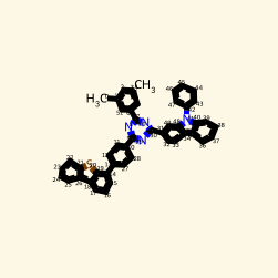 Cc1cc(C)cc(-c2nc(-c3ccc(-c4cccc5c4sc4ccccc45)cc3)nc(-c3ccc4c5ccccc5n(-c5ccccc5)c4c3)n2)c1